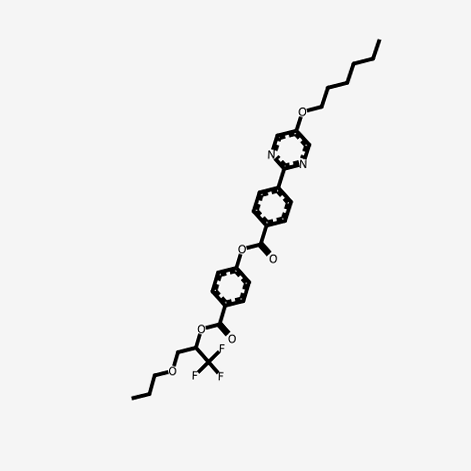 CCCCCCOc1cnc(-c2ccc(C(=O)Oc3ccc(C(=O)OC(COCCC)C(F)(F)F)cc3)cc2)nc1